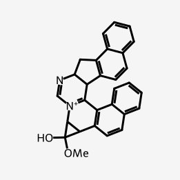 COC1(O)C2c3ccc4ccccc4c3C3=[N+](C=NC4Cc5c(ccc6ccccc56)C34)C21